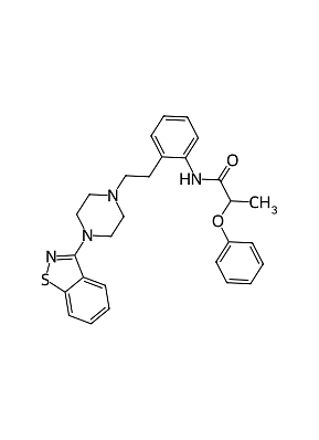 CC(Oc1ccccc1)C(=O)Nc1ccccc1CCN1CCN(c2nsc3ccccc23)CC1